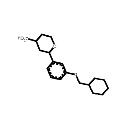 O=C(O)C1CCOC(c2cccc(OCC3CCCCC3)c2)C1